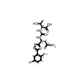 CC(O)[C@H](NC(=O)N[C@@H](CC(N)=O)c1nnc(-c2cc(F)ccc2F)o1)C(=O)O